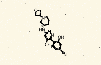 Cc1cc(N[C@H]2CCCN(C3COC3)C2)nnc1-c1ccc(C#N)cc1O